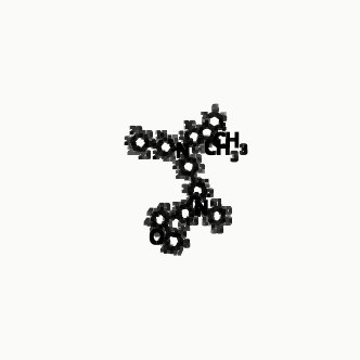 CC1(C)c2ccccc2-c2ccc(N(c3ccc(-c4ccccc4)cc3)c3ccc(-c4ccc5c(c4)c4cc(-c6cccc7oc8ccccc8c67)ccc4n5-c4ccccc4)cc3)cc21